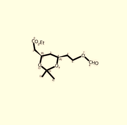 CCOC(=O)C[C@H]1C[C@@H](CCOC=O)OC(C)(C)O1